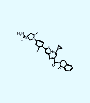 C[C@@H]1c2ccccc2CCN1C(=O)c1cc(C2CC2)n2nc(-c3ccc(N4C[C@H](C(N)=O)C[C@H]4C)cc3F)cc2n1